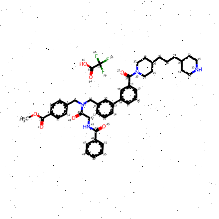 COC(=O)c1ccc(CN(Cc2cccc(-c3cccc(C(=O)N4CCC(CCCC5CCNCC5)CC4)c3)c2)C(=O)CNC(=O)c2ccccc2)cc1.O=C(O)C(F)(F)F